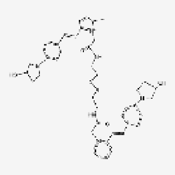 CC1C=CC(/C=C/c2ccc(N3CCC(O)C3)cc2)=[N+]1CC(=O)NCCSSCCNC(=O)C[n+]1ccccc1/C=C/c1ccc(N2CCC(O)C2)cc1